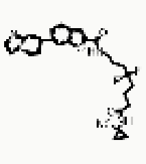 N#CC1(NC(=O)CCCC(F)(F)CCCNC(=O)c2cc3ccc(-c4ccn5ccnc5c4)cc3o2)CC1